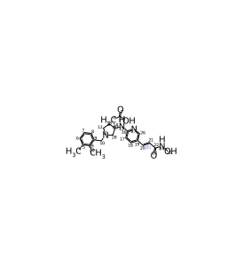 CC(=O)O.Cc1cccc(CN2CC[C@@H](Nc3ccc(/C=C/C(=O)NO)cn3)C2)c1C